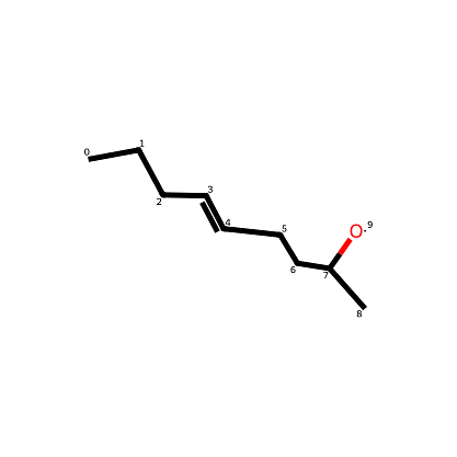 CCCC=CCCC(C)[O]